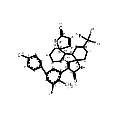 Cc1c(F)cc(-c2ccc(Cl)cc2)cc1C1=C(O)C2(CCC(C(F)(F)F)CC2C2CCCC[C@]23C=CC(=O)N3)NC1=O